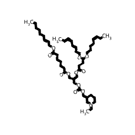 CC/C=C\CCCCOC(CCC(=O)OCC(COC(=O)CCCCCC(=O)OC/C=C/CCCCCC)COC(=O)OCC1CCCN(CC)C1)OCCCC/C=C\CC